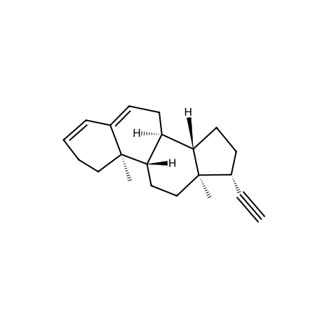 C#C[C@H]1CC[C@H]2[C@@H]3CC=C4C=CCC[C@]4(C)[C@H]3CC[C@]12C